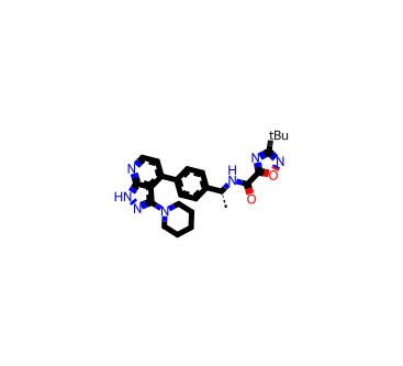 C[C@@H](NC(=O)c1nc(C(C)(C)C)no1)c1ccc(-c2ccnc3[nH]nc(N4CCCCC4)c23)cc1